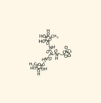 C[C@@H]1O[C@@H](OCCNC(=O)CN(CC(=O)NCCO[C@@H]2O[C@@H](C)[C@@H](O)[C@@H](O)[C@@H]2O)CC(=O)NCCC(=O)ON2C(=O)CCC2=O)[C@@H](O)[C@H](O)[C@@H]1O